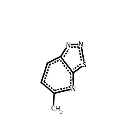 Cc1ccc2nnsc2n1